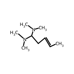 CC=CCC(N(C)C)N(C)C